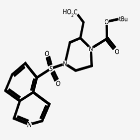 CC(C)(C)OC(=O)N1CCN(S(=O)(=O)c2cccc3cnccc23)CC1CC(=O)O